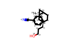 N#Cc1cccc([C@]23CC[C@@H](CCCO)C[C@H]2C3)c1